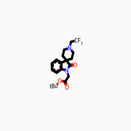 CC(C)(C)OC(=O)CN1C(=O)C2(CCN(CC(F)(F)F)CC2)c2ccccc21